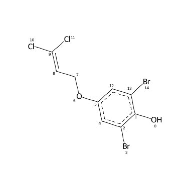 Oc1c(Br)cc(OCC=C(Cl)Cl)cc1Br